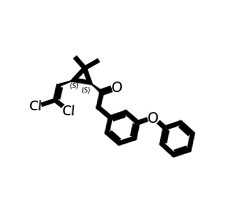 CC1(C)[C@H](C=C(Cl)Cl)[C@@H]1C(=O)Cc1cccc(Oc2ccccc2)c1